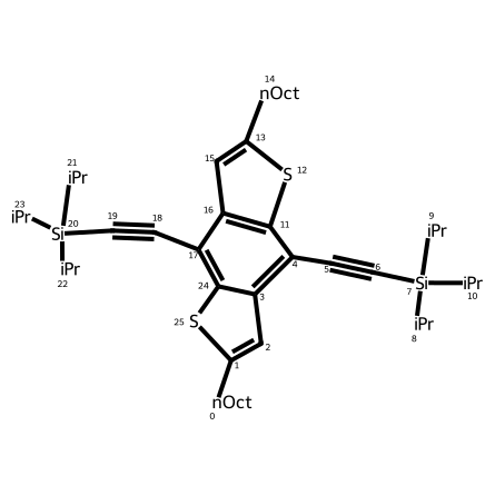 CCCCCCCCc1cc2c(C#C[Si](C(C)C)(C(C)C)C(C)C)c3sc(CCCCCCCC)cc3c(C#C[Si](C(C)C)(C(C)C)C(C)C)c2s1